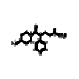 CC1CCN(C(=O)C(CCNC(=O)O)c2ccncc2)CC1